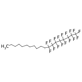 CCCCCCCCCC[CH]C(F)(F)C(F)(F)C(F)(F)C(F)(F)C(F)(F)C(F)(F)C(F)(F)C(F)(F)F